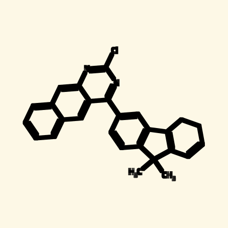 CC1(C)C2=C(CCC=C2)c2cc(-c3nc(Cl)nc4cc5ccccc5cc34)ccc21